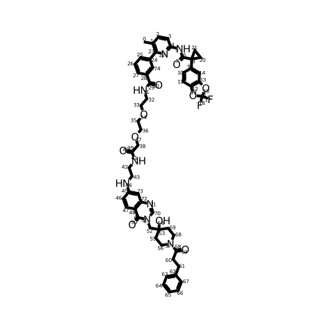 Cc1ccc(NC(=O)C2(c3ccc4c(c3)OC(F)(F)O4)CC2)nc1-c1cccc(C(=O)NCCOCCOCC(=O)NCCNc2ccc3c(=O)n(CC4(O)CCN(C(=O)CCc5ccccc5)CC4)cnc3c2)c1